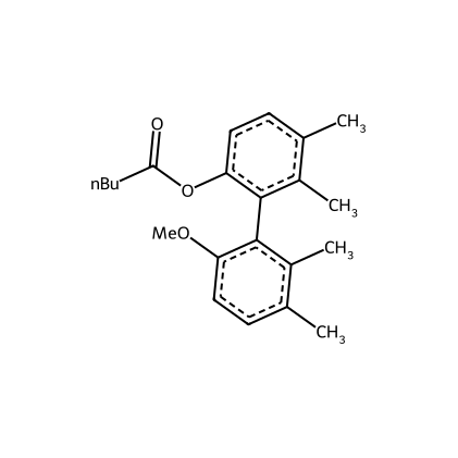 CCCCC(=O)Oc1ccc(C)c(C)c1-c1c(OC)ccc(C)c1C